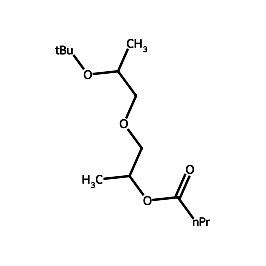 CCCC(=O)OC(C)COCC(C)OC(C)(C)C